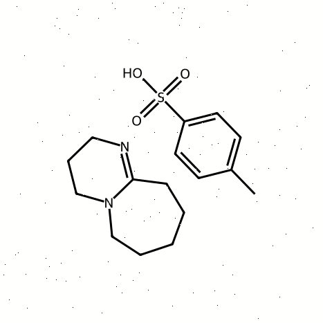 C1CCC2=NCCCN2CC1.Cc1ccc(S(=O)(=O)O)cc1